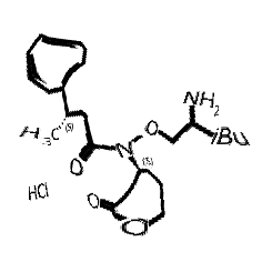 CCC(C)C(N)CON(C(=O)C[C@H](C)c1ccccc1)[C@H]1CCOC1=O.Cl